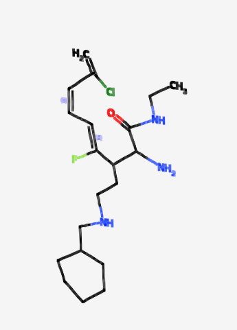 C=C(Cl)/C=C\C=C(/F)C(CCNCC1CCCCC1)C(N)C(=O)NCC